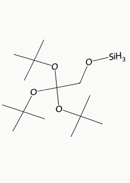 CC(C)(C)OC(CO[SiH3])(OC(C)(C)C)OC(C)(C)C